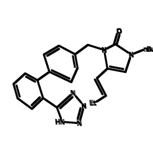 CC/C=C/c1cn(CCCC)c(=O)n1Cc1ccc(-c2ccccc2-c2nnn[nH]2)cc1